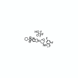 N[C@H]1C[C@@H](N2Cc3cn(S(=O)(=O)C4CCCC4)nc3C2)CO[C@@H]1c1cc(F)c(F)cc1F.O=C(O)C(F)(F)F